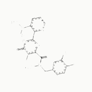 Cc1ccc(CN(C)C(=O)c2nc(-c3ncccc3N(C)C)[nH]c(=O)c2O)cc1C